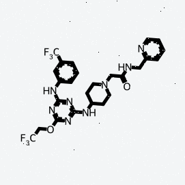 O=C(CN1CCC(Nc2nc(Nc3cccc(C(F)(F)F)c3)nc(OCC(F)(F)F)n2)CC1)NCc1ccccn1